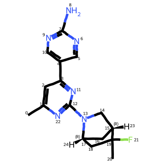 Cc1cc(-c2cnc(N)nc2)nc(N2C[C@H]3C[C@@H]2CC3(C)F)n1